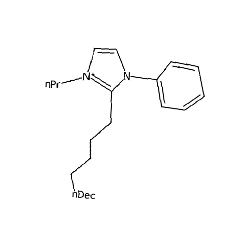 CCCCCCCCCCCCCCc1n(-c2ccccc2)cc[n+]1CCC